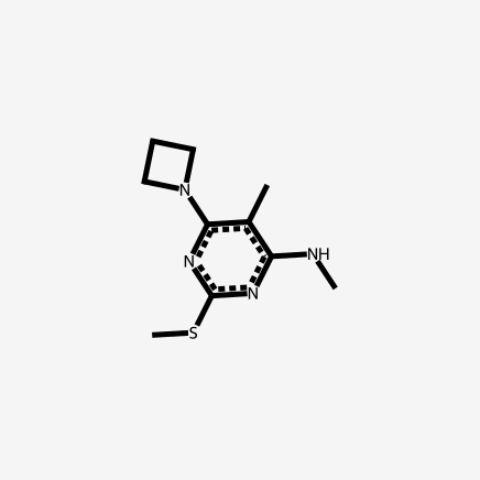 CNc1nc(SC)nc(N2CCC2)c1C